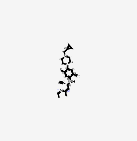 C#C[C@@H](/C=C(C)\N=C/C)Nc1cc(C)c(N2CCN(CC3=CC3)CC2)cc1CC